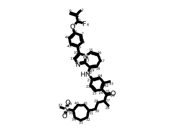 C=C(C)C(F)Oc1ccc(-c2cnc3n2C=CCC=C3Nc2ccc(C(=O)C(C)CCC3CCCC(S(C)(=O)=O)CC3)c(C)c2)cc1